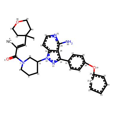 CC1(C=C(C#N)C(=O)N2CCCC(n3nc(-c4ccc(Oc5ccccc5)cc4)c4c(N)nccc43)C2)CCOCC1